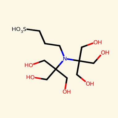 O=S(=O)(O)CCCN(C(CO)(CO)CO)C(CO)(CO)CO